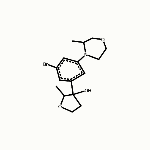 CC1COCCN1c1cc(Br)cc(C2(O)CCOC2C)c1